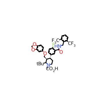 CC(C)(C)C1[C@@H](COc2ccc3c(c2)OCO3)[C@H](c2ccc(F)c(C(=O)NCc3c(C(F)(F)F)cccc3C(F)(F)F)c2)CCN1C(=O)O